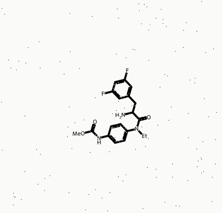 CCN(C(=O)C(N)Cc1cc(F)cc(F)c1)c1ccc(NC(=O)OC)cc1